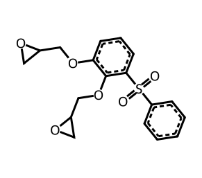 O=S(=O)(c1ccccc1)c1cccc(OCC2CO2)c1OCC1CO1